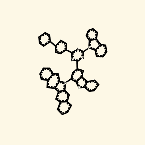 c1ccc(-c2ccc(-c3nc(-c4cc(-n5c6cc7ccccc7cc6c6cc7ccccc7cc65)c5oc6ccccc6c5c4)nc(-n4c5ccccc5c5ccccc54)n3)cc2)cc1